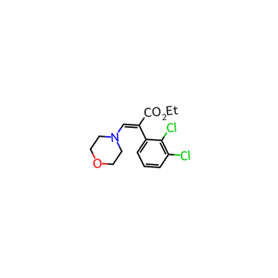 CCOC(=O)C(=CN1CCOCC1)c1cccc(Cl)c1Cl